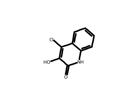 O=c1[nH]c2ccccc2c(Cl)c1O